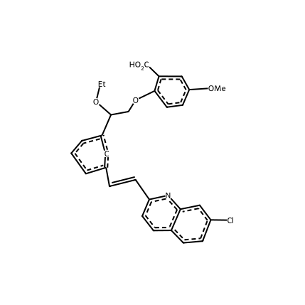 CCOC(COc1ccc(OC)cc1C(=O)O)c1cccc(/C=C/c2ccc3ccc(Cl)cc3n2)c1